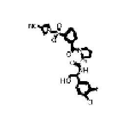 N#CC1CN(S(=O)(=O)c2cccc(C(=O)N3CCC[C@@H]3C(=O)NC(CO)c3ccc(Cl)c(F)c3)c2)C1